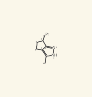 Cc1[nH]nc2c1CCC2C(C)C